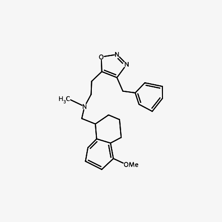 COc1cccc2c1CCCC2CN(C)CCc1onnc1Cc1ccccc1